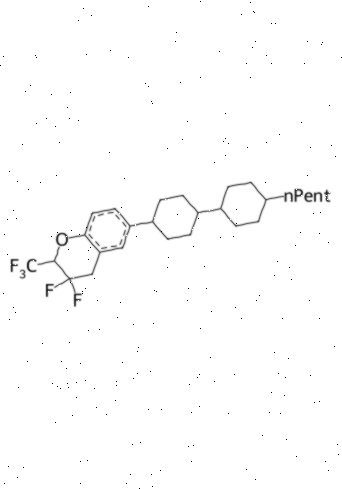 CCCCCC1CCC(C2CCC(c3ccc4c(c3)CC(F)(F)C(C(F)(F)F)O4)CC2)CC1